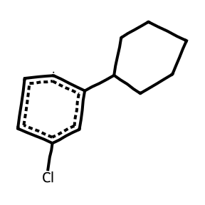 Clc1cc[c]c(C2CCCCC2)c1